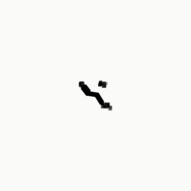 NC[C]=O.[Ag]